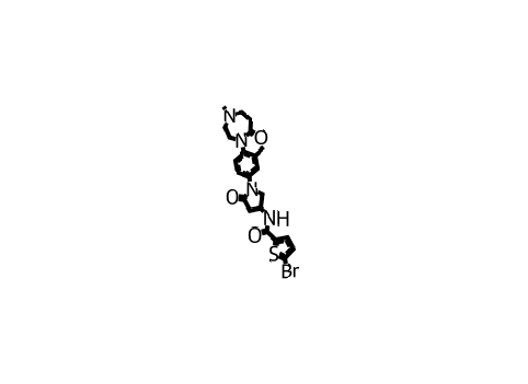 Cc1cc(N2CC(NC(=O)c3ccc(Br)s3)CC2=O)ccc1N1CCN(C)CCC1=O